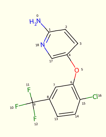 Nc1ccc(Oc2cc(C(F)(F)F)ccc2Cl)cn1